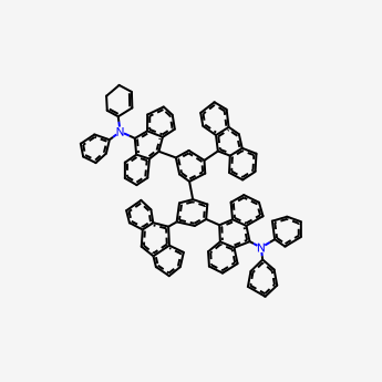 C1=CC(N(c2ccccc2)c2c3ccccc3c(-c3cc(-c4cc(-c5c6ccccc6cc6ccccc56)cc(-c5c6ccccc6c(N(c6ccccc6)c6ccccc6)c6ccccc56)c4)cc(-c4c5ccccc5cc5ccccc45)c3)c3ccccc23)=CCC1